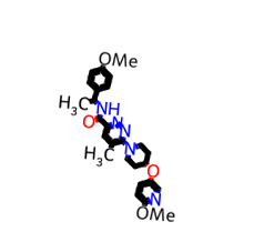 COc1ccc(C(C)NC(=O)c2cc(C)c(N3CCC(Oc4ccc(OC)nc4)CC3)nn2)cc1